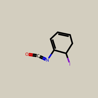 O=C=NC1=CC=CCC1I